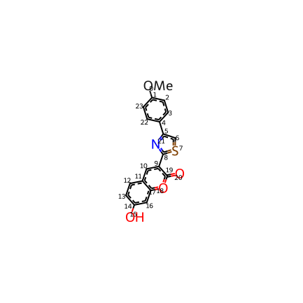 COc1ccc(-c2csc(-c3cc4ccc(O)cc4oc3=O)n2)cc1